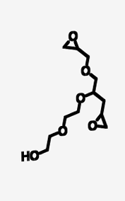 OCCOCCOC(COCC1CO1)CC1CO1